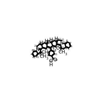 CC1(C)Cc2ccccc2N2CC[C@@H]3C[C@@H]4O[C@@H]5C[C@@H]6CC[N+]7=C(C6=CC5=C(c5ccc(C(=O)O)cc5)C4=CC3=C21)C(C)(C)c1ccccc17